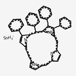 C1=Cc2cc3[nH]c(c(-c4ccccc4)c4nc(cc5ccc(cc1n2)[nH]5)C=C4c1ccccc1)c(-c1ccccc1)c3-c1ccccc1.[SnH2]